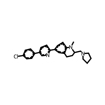 CN1c2ccc(-c3ccc(-c4ccc(Cl)cc4)cn3)cc2CCC1CN1CCCC1